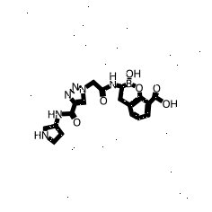 O=C(Cn1cc(C(=O)NC2CCNC2)nn1)NC1Cc2cccc(C(=O)O)c2OB1O